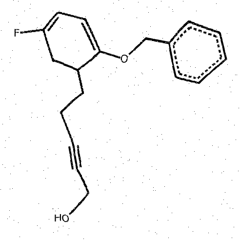 OCC#CCCC1CC(F)=CC=C1OCc1ccccc1